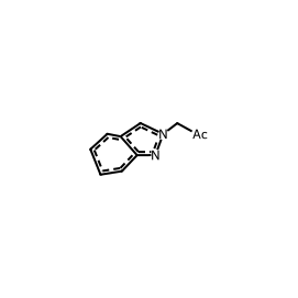 CC(=O)Cn1cc2ccccc2n1